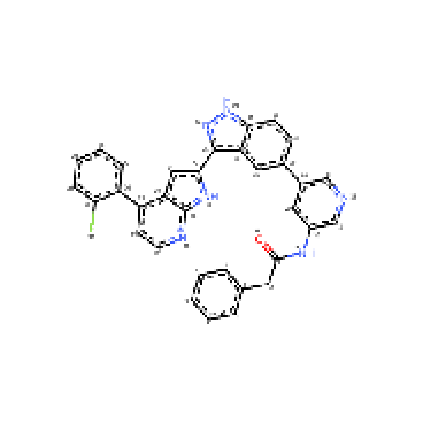 O=C(Cc1ccccc1)Nc1cncc(-c2ccc3[nH]nc(-c4cc5c(-c6ccccc6F)ccnc5[nH]4)c3c2)c1